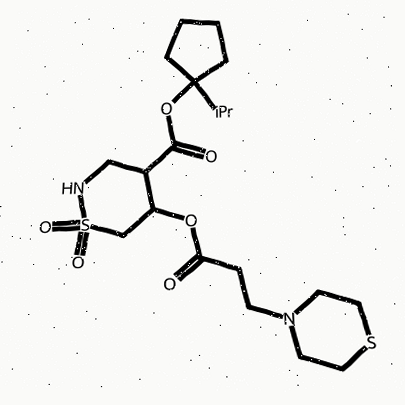 CC(C)C1(OC(=O)C2CNS(=O)(=O)CC2OC(=O)CCN2CCSCC2)CCCC1